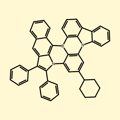 c1ccc(-c2c(-c3ccccc3)n3c4c(c5ccccc5cc24)B2c4c-3cc(C3CCCCC3)cc4-n3c4ccccc4c4cccc2c43)cc1